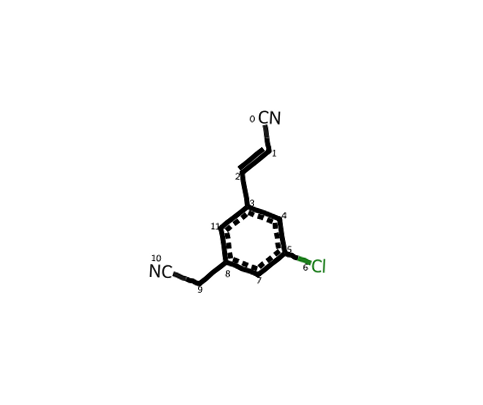 N#CC=Cc1cc(Cl)cc(CC#N)c1